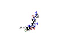 COc1cc(Nc2ccnc3[nH]c(C4=CCN(C(=O)[C@H]5CCCCN5)CC4)cc23)c(O)cc1Cl